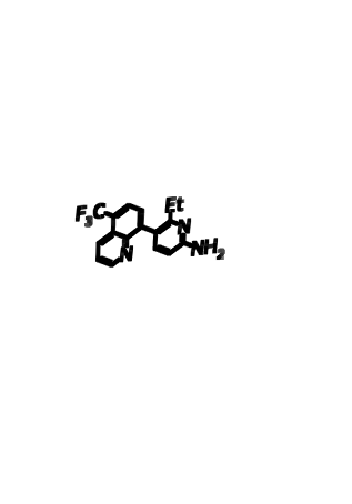 CCc1nc(N)ccc1-c1ccc(C(F)(F)F)c2cccnc12